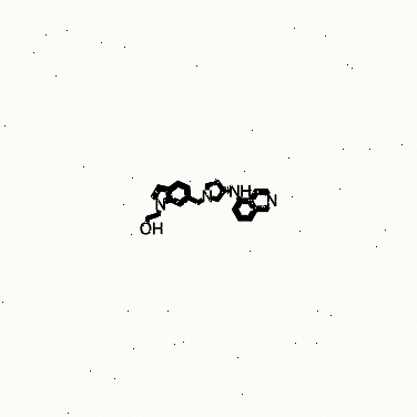 OCCn1ccc2ccc(CN3CC[C@@H](Nc4cccc5cnccc45)C3)cc21